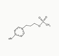 CCCc1ccc(CCCOS(C)(=O)=O)cc1